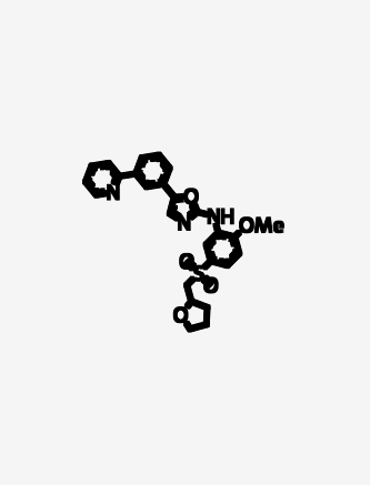 COc1ccc(S(=O)(=O)CC2CCCO2)cc1Nc1ncc(-c2cccc(-c3ccccn3)c2)o1